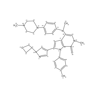 Cc1ccc(-n2c(-c3cnn(C4COC4)c3)cc3c(C(C)c4ccc(N5CCN(C)CC5)cc4)cn(C)c(=O)c32)cc1